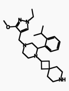 CCn1cc(CN2CCN(C3CC4(CCNCC4)C3)C(c3ccccc3C(C)C)C2)c(OC)n1